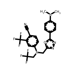 CN(C)c1ccc(-c2nnc(CN(CC(F)(F)F)c3ccc(C#N)c(C(F)(F)F)c3)o2)cc1